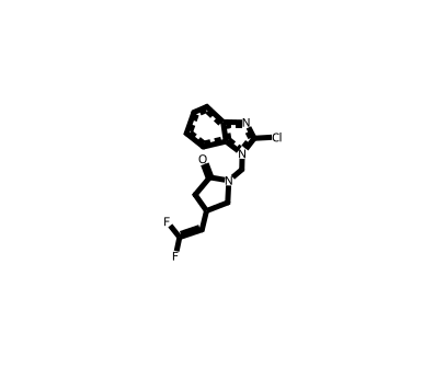 O=C1CC(C=C(F)F)CN1Cn1c(Cl)nc2ccccc21